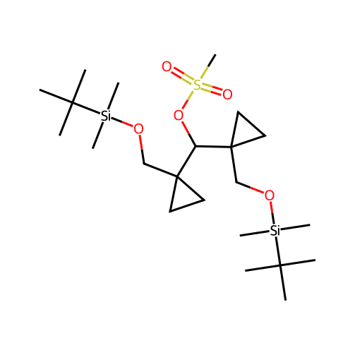 CC(C)(C)[Si](C)(C)OCC1(C(OS(C)(=O)=O)C2(CO[Si](C)(C)C(C)(C)C)CC2)CC1